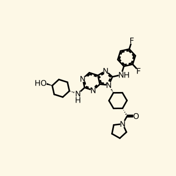 O=C([C@H]1CC[C@@H](n2c(Nc3ccc(F)cc3F)nc3cnc(N[C@H]4CC[C@H](O)CC4)nc32)CC1)N1CCCC1